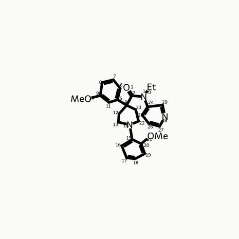 CCN(C(=O)C1(c2cccc(OC)c2)CCN(c2ccccc2OC)CC1)c1cccnc1